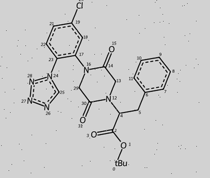 CC(C)(C)OC(=O)C(Cc1ccccc1)N1CC(=O)N(c2cc(Cl)ccc2-n2cnnn2)CC1=O